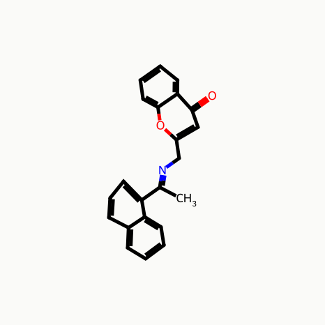 C/C(=N\Cc1cc(=O)c2ccccc2o1)c1cccc2ccccc12